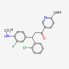 COc1ccc(C(=O)CC(c2ccc(NC(=O)O)c(F)c2)c2ccccc2Cl)cn1